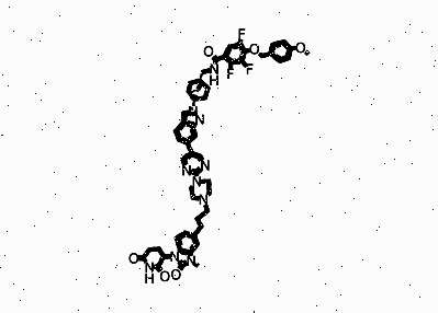 COc1ccc(COc2c(F)cc(C(=O)NC[C@]34CC[C@](n5cc6ccc(-c7cnc(N8CCN(CCCc9ccc%10c(c9)n(C)c(=O)n%10C9CCC(=O)NC9=O)CC8)nc7)cc6n5)(CC3)CC4)c(F)c2F)cc1